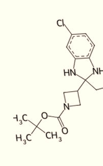 CC(C)(C)OC(=O)N1CC(C2(CCl)Nc3ccc(Cl)cc3N2)C1